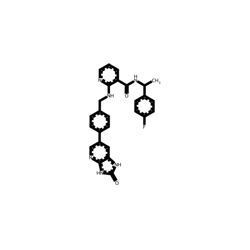 CC(NC(=O)c1cccnc1NCc1ccc(-c2cnc3[nH]c(=O)[nH]c3c2)cc1)c1ccc(F)cc1